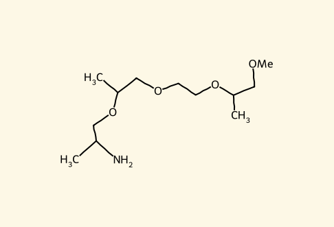 COCC(C)OCCOCC(C)OCC(C)N